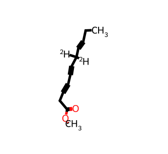 [2H]C([2H])(C#CC#CCC(=O)OC)C#CCC